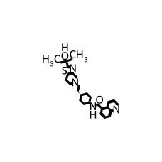 CCC(O)(CC)c1nc2c(s1)CCN(CC[C@H]1CC[C@H](NC(=O)c3cccc4ncccc34)CC1)C2